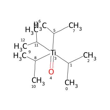 C[CH](C)[Ti](=[O])([CH](C)C)([CH](C)C)[CH](C)C